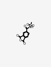 CS(=O)(=O)NC(=O)c1ccc2c(c1)C(=O)OC2=O